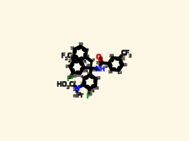 CC(C)N(C(=O)O)c1cc([C@@](Cc2ccccc2)(NC(=O)c2cccc(C(F)(F)F)c2)c2cc(F)cc(C(F)(F)F)c2)ccc1F